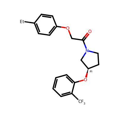 CCc1ccc(OCC(=O)N2CC[C@@H](Oc3ccccc3C(F)(F)F)C2)cc1